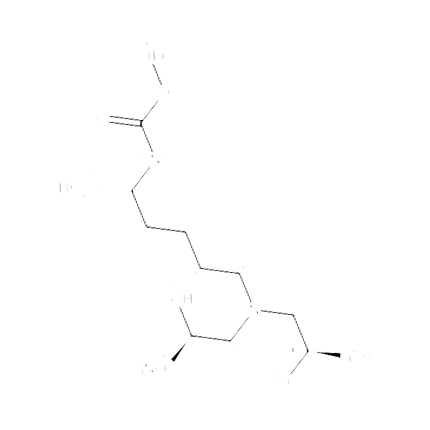 CCCCCCCCCC[C@@H](O)CN(CCCC[C@@H](NC(=O)OC(C)(C)C)C(=O)O)C[C@H](O)CCCCCCCCC